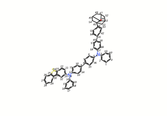 c1ccc(N(c2ccc(-c3ccc(N(c4ccccc4)c4ccc5sc6ccccc6c5c4)cc3)cc2)c2ccc(-c3ccc(C45CC6CC(CC(C6)C4)C5)cc3)cc2)cc1